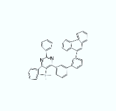 CC1(C)c2ccccc2-c2nc(-c3ccccc3)nc(-c3cccc(-c4cccc(-c5cc6ccccc6c6ccccc56)c4)c3)c21